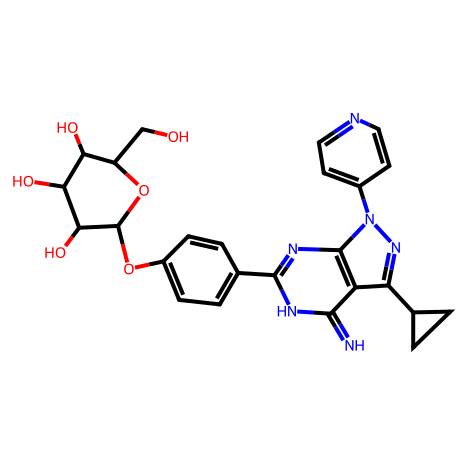 N=c1[nH]c(-c2ccc(OC3OC(CO)C(O)C(O)C3O)cc2)nc2c1c(C1CC1)nn2-c1ccncc1